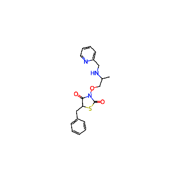 CC(CON1C(=O)SC(Cc2ccccc2)C1=O)NCc1ccccn1